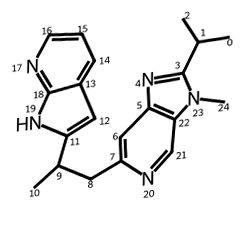 CC(C)c1nc2cc(CC(C)c3cc4cccnc4[nH]3)ncc2n1C